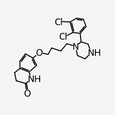 O=C1CCc2ccc(OCCCCN3CCNCC3c3cccc(Cl)c3Cl)cc2N1